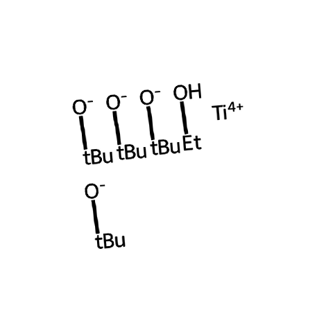 CC(C)(C)[O-].CC(C)(C)[O-].CC(C)(C)[O-].CC(C)(C)[O-].CCO.[Ti+4]